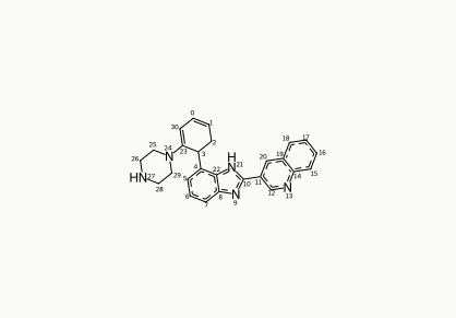 C1=CCC(c2cccc3nc(-c4cnc5ccccc5c4)[nH]c23)C(N2CCNCC2)=C1